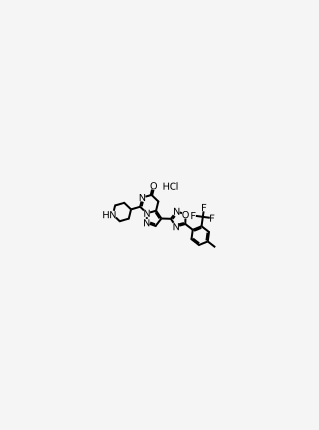 Cc1ccc(-c2nc(-c3cnn4c3CC(=O)N=C4C3CCNCC3)no2)c(C(F)(F)F)c1.Cl